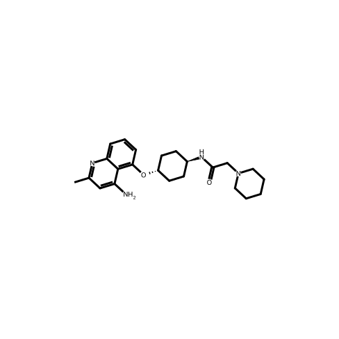 Cc1cc(N)c2c(O[C@H]3CC[C@H](NC(=O)CN4CCCCC4)CC3)cccc2n1